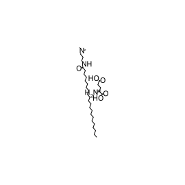 CCCCCCCCCCCCCCCCCCCCCC(=O)NCCCN(C)C.N[C@@H](CCC(=O)O)C(=O)O